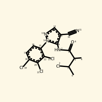 CC(Cl)C(C)C(=O)Nc1c(C#N)cnn1-c1ccc(Cl)c(Cl)c1Cl